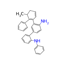 CC1CC=CC(c2cc(-c3ccccc3Nc3ccccc3)ccc2N)=C1c1ccccc1